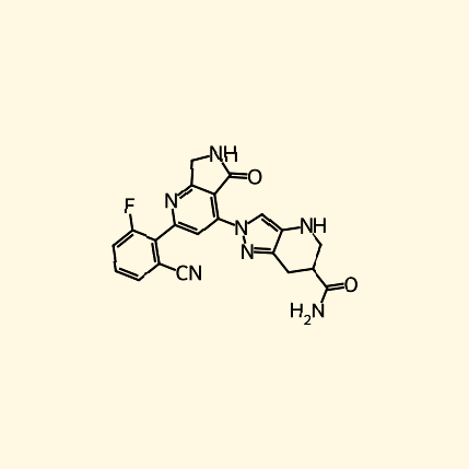 N#Cc1cccc(F)c1-c1cc(-n2cc3c(n2)CC(C(N)=O)CN3)c2c(n1)CNC2=O